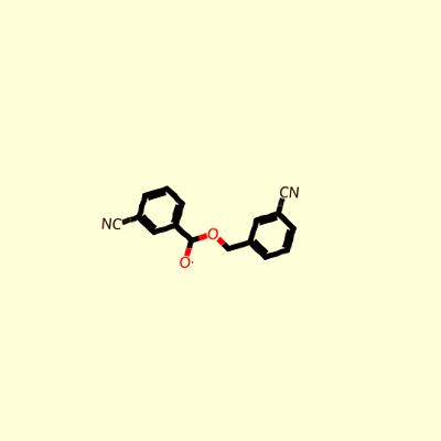 N#Cc1cccc(COC([O])c2cccc(C#N)c2)c1